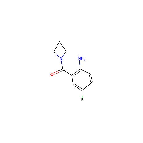 Nc1ccc(F)cc1C(=O)N1CCC1